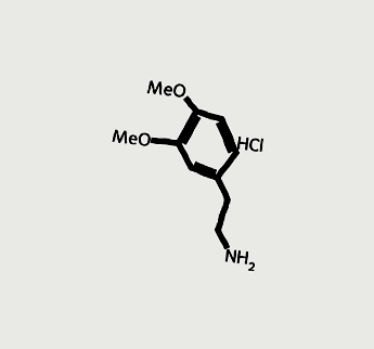 COc1ccc(CCN)cc1OC.Cl